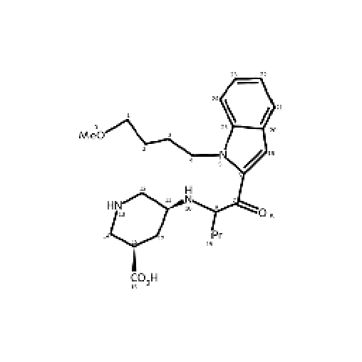 COCCCCn1c(C(=O)C(N[C@@H]2CNC[C@H](C(=O)O)C2)C(C)C)cc2ccccc21